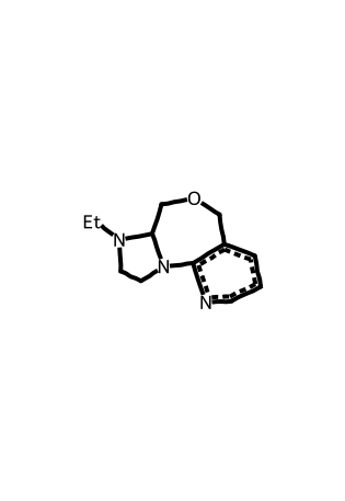 CCN1CCN2c3ncccc3COCC12